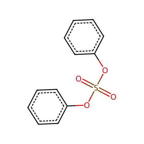 O=S(=O)(Oc1ccccc1)Oc1ccccc1